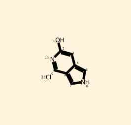 Cl.Oc1cc2c[nH]cc2cn1